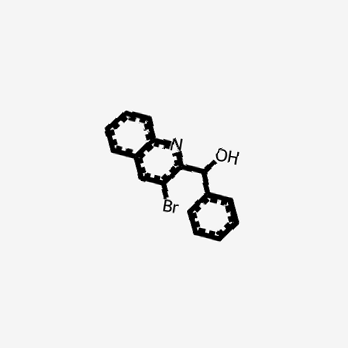 OC(c1ccccc1)c1nc2ccccc2cc1Br